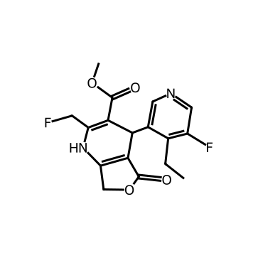 CCc1c(F)cncc1C1C(C(=O)OC)=C(CF)NC2=C1C(=O)OC2